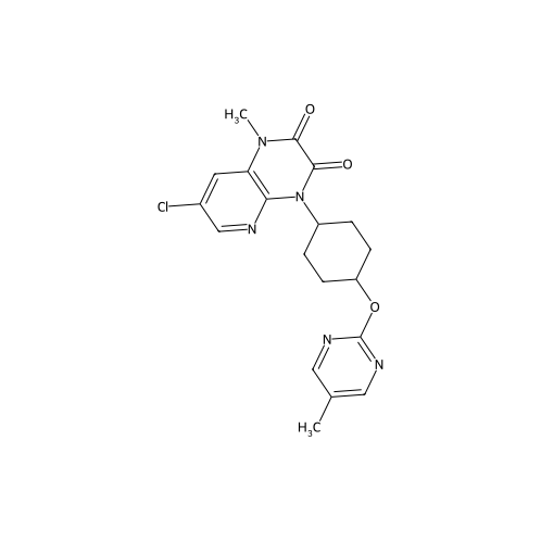 Cc1cnc(OC2CCC(n3c(=O)c(=O)n(C)c4cc(Cl)cnc43)CC2)nc1